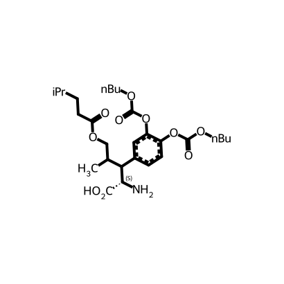 CCCCOC(=O)Oc1ccc(C(C(C)COC(=O)CCC(C)C)[C@H](N)C(=O)O)cc1OC(=O)OCCCC